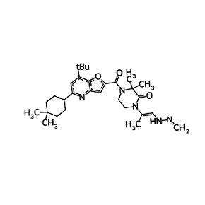 C=NN/C=C(\C)N1CCN(C(=O)c2cc3nc(C4CCC(C)(C)CC4)cc(C(C)(C)C)c3o2)C(C)(C)C1=O